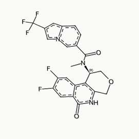 CN(C(=O)c1ccc2cc(C(F)(F)F)cn2c1)[C@H]1COCc2[nH]c(=O)c3cc(F)c(F)cc3c21